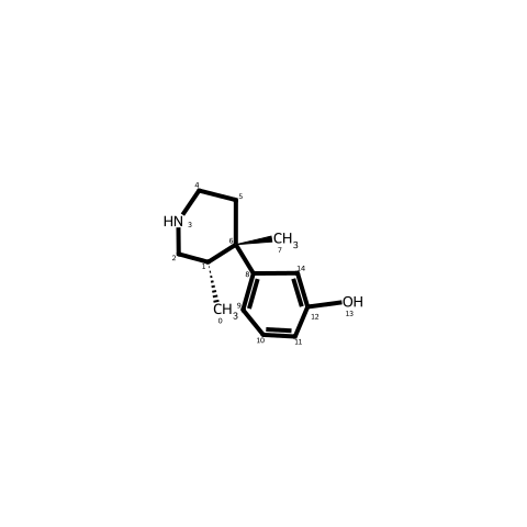 C[C@@H]1CNCC[C@]1(C)c1cccc(O)c1